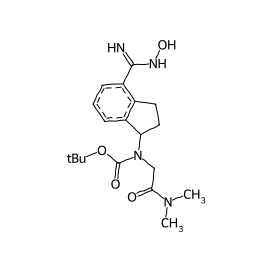 CN(C)C(=O)CN(C(=O)OC(C)(C)C)C1CCc2c(C(=N)NO)cccc21